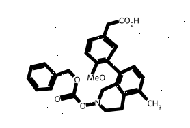 COc1ccc(CC(=O)O)cc1-c1ccc(C)c2c1CN(OC(=O)OCc1ccccc1)CC2